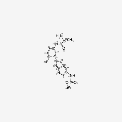 CC(C)OC(=O)Nc1cnc2nc(-c3cc(NC(=O)C(C)N)ccc3F)cn2c1